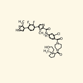 Cc1n[nH]cc1-c1ccc(-c2cnc(C(=O)Nc3ccc(C(=O)N4CCN(C(=O)C5CCC[N+]5(C)CCO)CC4)c(Cl)c3)n2C)c(F)c1F